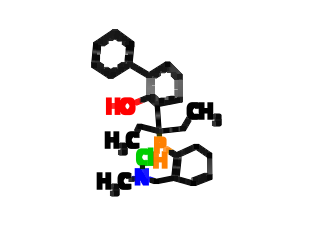 CCC(CC)(PC1=C(CN(C)Cl)C=CCC1)c1cccc(-c2ccccc2)c1O